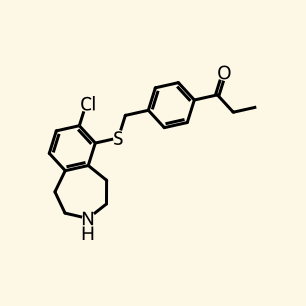 CCC(=O)c1ccc(CSc2c(Cl)ccc3c2CCNCC3)cc1